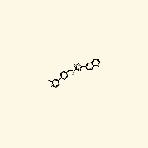 Cc1cc(-c2ccc(CNc3nsc(-c4ccc5ncccc5c4)n3)cc2)ccn1